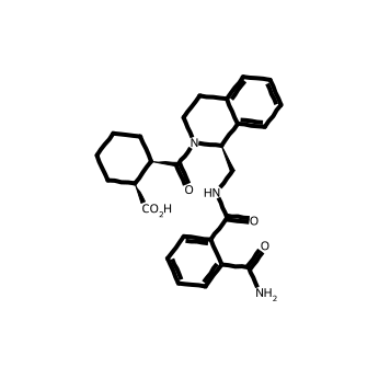 NC(=O)c1ccccc1C(=O)NC[C@@H]1c2ccccc2CCN1C(=O)[C@@H]1CCCC[C@@H]1C(=O)O